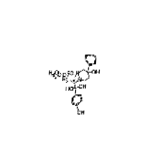 CS(=O)(=O)O.C[C@H](N1CCC(O)(c2ccccc2)CC1)C(O)(O)c1ccc(O)cc1.O.O.O